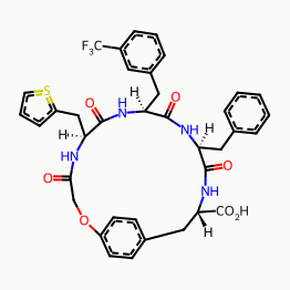 O=C1COc2ccc(cc2)C[C@@H](C(=O)O)NC(=O)[C@H](Cc2ccccc2)NC(=O)[C@H](Cc2cccc(C(F)(F)F)c2)NC(=O)[C@H](Cc2cccs2)N1